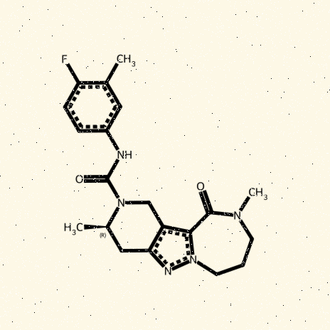 Cc1cc(NC(=O)N2Cc3c(nn4c3C(=O)N(C)CCC4)C[C@H]2C)ccc1F